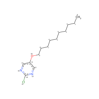 CCCCCCCCCCOc1cnc(Cl)nc1